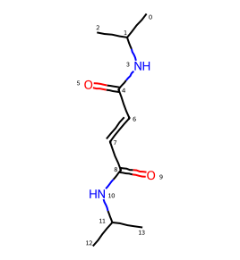 CC(C)NC(=O)C=CC(=O)NC(C)C